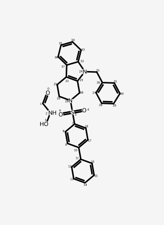 O=CNO.O=S(=O)(c1ccc(-c2ccccc2)cc1)N1CCc2c(n(Cc3ccccc3)c3ccccc23)C1